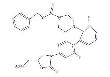 CC(=O)NCC1CN(c2ccc(-c3cccc(F)c3N3CCN(C(=O)OCc4ccccc4)CC3)c(F)c2)C(=O)O1